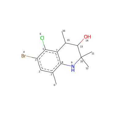 Cc1cc(Br)c(Cl)c2c1NC(C)(C)C(O)C2C